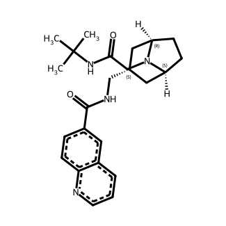 CC(C)(C)NC(=O)CN1[C@@H]2CC[C@H]1C[C@H](CNC(=O)c1ccc3ncccc3c1)C2